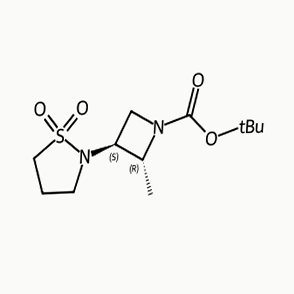 C[C@@H]1[C@@H](N2CCCS2(=O)=O)CN1C(=O)OC(C)(C)C